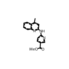 COC(=O)c1ccc(Nc2cc(C)c3ccccc3n2)nc1